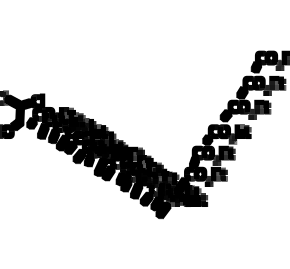 CCCCCC.CCOC(C)=O.CCOC(C)=O.CCOC(C)=O.CCOC(C)=O.CCOC(C)=O.CCOC(C)=O.CCOC(C)=O.CCOC(C)=O.CCOC(C)=O.CCOC(C)=O.CCOC(C)=O.CCOC(C)=O.CCOC(C)=O.CCOC(C)=O.CCOC(C)=O.CCOC(C)=O.CCOC(C)=O.CCOC(C)=O.CCOC(C)=O.CCOC(C)=O.OCC(Cl)Cl